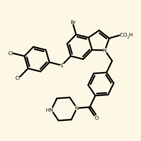 O=C(O)c1cc2c(Br)cc(Sc3ccc(Cl)c(Cl)c3)cc2n1Cc1ccc(C(=O)N2CCNCC2)cc1